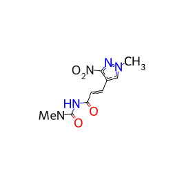 CNC(=O)NC(=O)C=Cc1cn(C)nc1[N+](=O)[O-]